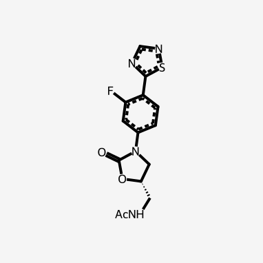 CC(=O)NC[C@H]1CN(c2ccc(-c3ncns3)c(F)c2)C(=O)O1